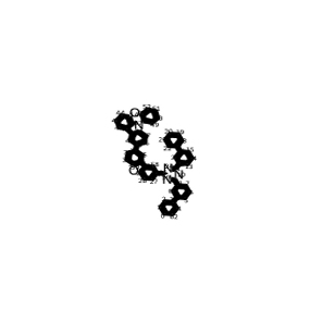 c1ccc(-c2cccc(-c3nc(-c4cccc(-c5ccccc5)c4)nc(-c4ccc5oc6ccc(-c7ccc8c(c7)c7cccc9c7n8-c7ccccc7O9)cc6c5c4)n3)c2)cc1